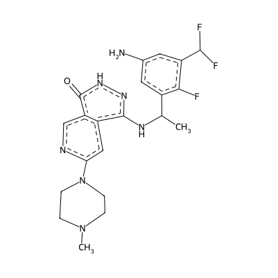 CC(Nc1n[nH]c(=O)c2cnc(N3CCN(C)CC3)cc12)c1cc(N)cc(C(F)F)c1F